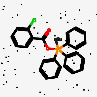 CCCCP(OC(=O)c1ccccc1Cl)(c1ccccc1)(c1ccccc1)c1ccccc1